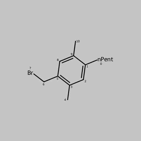 CCCCCc1cc(C)c(CBr)cc1C